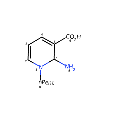 CCCCCN1C=CC=C(C(=O)O)C1N